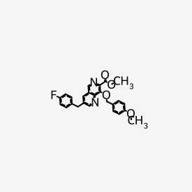 COC(=O)c1ncc2cc(Cc3ccc(F)cc3)cnc2c1OCc1ccc(OC)cc1